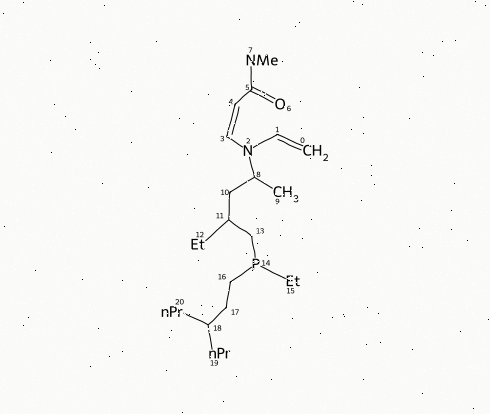 C=CN(/C=C\C(=O)NC)C(C)CC(CC)CP(CC)CCC(CCC)CCC